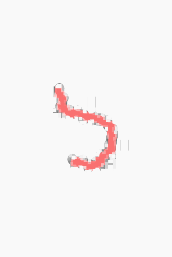 CC(COC(=O)CCCC(=O)OCCOC(=O)Nc1ccc(C(=O)OCCOC(=O)c2ccc(NC(=O)Nc3ccc(C(=O)OCCOC(=O)c4ccc(N=C=O)cc4)cc3)cc2)cc1)OC(=O)CCCC(=O)OCCOC(=O)Nc1ccc(C(=O)OCCOC(=O)c2ccc(NC(=O)Nc3ccc(C(=O)OCCOC(=O)c4ccc(N=C=O)cc4)cc3)cc2)cc1